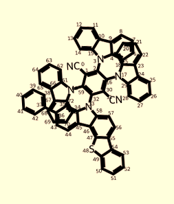 N#Cc1c(-n2c3ccccc3c3ccccc32)c(-n2c3ccccc3c3ccccc32)c(C#N)c(-n2c3cc(-c4ccccc4)ccc3c3c4sc5ccccc5c4ccc32)c1-n1c2ccccc2c2ccccc21